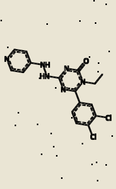 CCn1c(-c2ccc(Cl)c(Cl)c2)nc(NNc2ccncc2)nc1=O